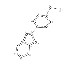 CC(C)(C)Oc1ccc(-c2cc3ccccc3o2)cc1